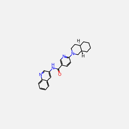 O=C(Nc1cnc2ccccc2c1)c1ccc(N2CC[C@H]3CCCC[C@@H]3C2)nc1